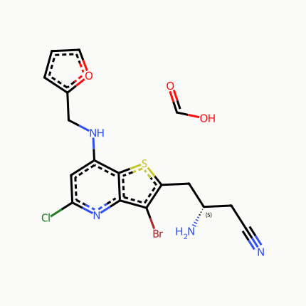 N#CC[C@H](N)Cc1sc2c(NCc3ccco3)cc(Cl)nc2c1Br.O=CO